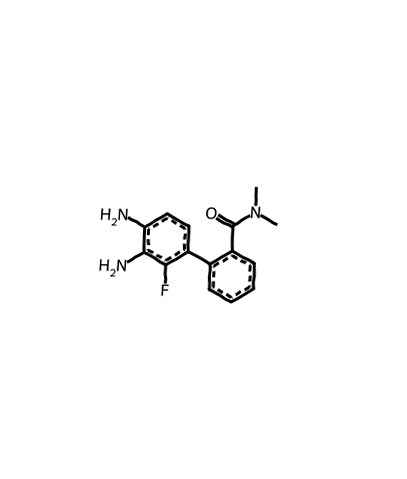 CN(C)C(=O)c1ccccc1-c1ccc(N)c(N)c1F